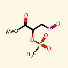 COC(=O)C(CP=O)OS(C)(=O)=O